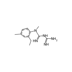 CCc1cc(C)ccc1N(C)C(=N)NC(=N)N